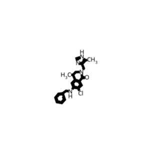 Cc1[nH]cnc1CN1CC(C)c2cc(NCc3ccccc3)c(Cl)cc2C1=O